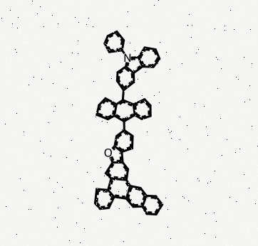 c1ccc(-n2c3ccccc3c3cc(-c4c5ccccc5c(-c5ccc6c(c5)oc5cc7c8ccccc8c8cc9ccccc9cc8c7cc56)c5ccccc45)ccc32)cc1